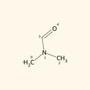 [CH2]N(C)C=O